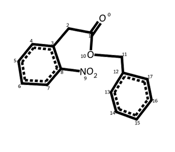 O=C(Cc1ccccc1[N+](=O)[O-])OCc1ccccc1